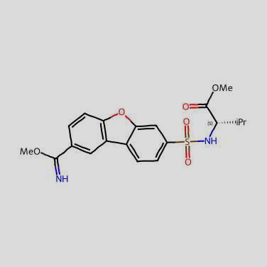 COC(=N)c1ccc2oc3cc(S(=O)(=O)N[C@H](C(=O)OC)C(C)C)ccc3c2c1